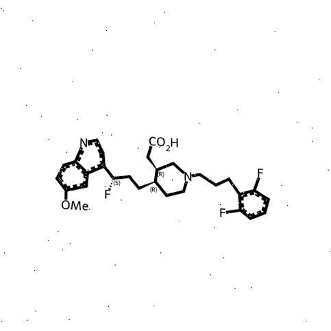 COc1ccc2nccc([C@@H](F)CC[C@@H]3CCN(CCCc4c(F)cccc4F)C[C@@H]3CC(=O)O)c2c1